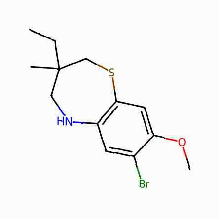 CCC1(C)CNc2cc(Br)c(OC)cc2SC1